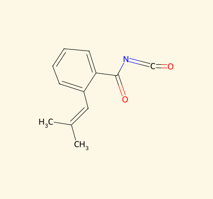 CC(C)=Cc1ccccc1C(=O)N=C=O